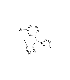 Cn1cnnc1C(c1cccc(Br)c1)n1ccnc1